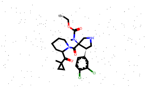 CN(C(=O)OCC(C)(C)C)[C@@]1(C(=O)N2CCCCC2C(=O)C2(C)CC2)CNC[C@@H]1c1ccc(Cl)c(Cl)c1